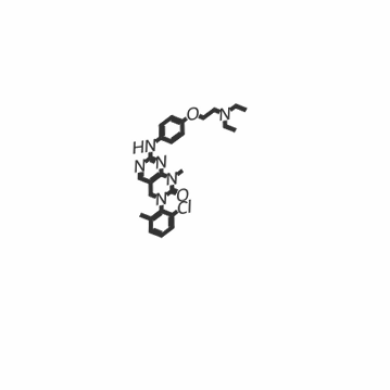 CCN(CC)CCOc1ccc(Nc2ncc3c(n2)N(C)C(=O)N(c2c(C)cccc2Cl)C3)cc1